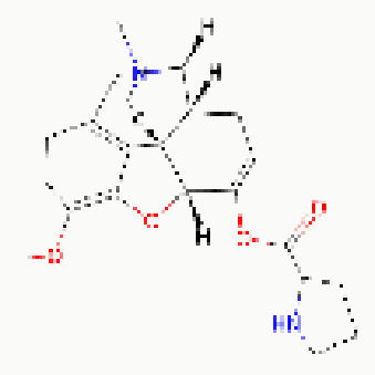 COc1ccc2c3c1O[C@H]1C(OC(=O)C4CCCN4)=CC[C@H]4[C@@H](C2)N(C)CC[C@]314